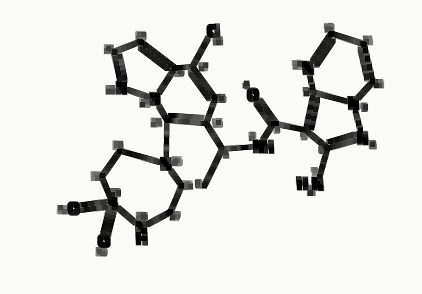 CC(NC(=O)c1c(N)nn2cccnc12)c1cc(Cl)c2ccnn2c1N1CCNS(=O)(=O)CC1